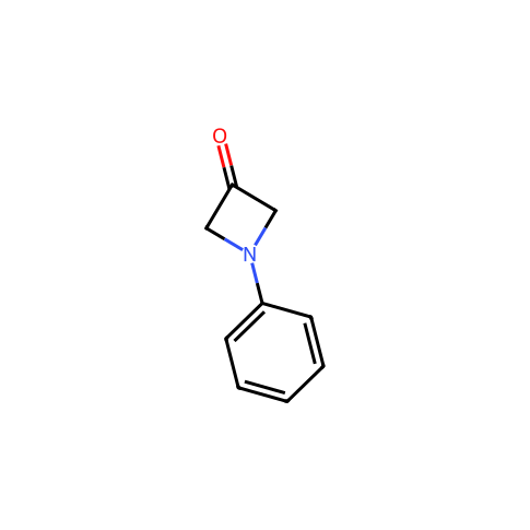 O=C1CN(c2ccccc2)C1